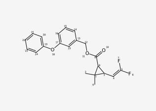 CC1(C)C(C=C(F)F)C1C(=O)OCc1cccc(Oc2ccccc2)c1